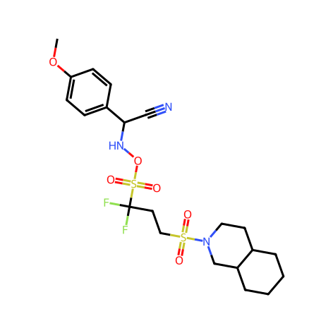 COc1ccc(C(C#N)NOS(=O)(=O)C(F)(F)CCS(=O)(=O)N2CCC3CCCCC3C2)cc1